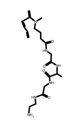 C=C/C=C\C(=C)N(C)CCCC(=O)NCC(=O)NC(C)C(=O)NCC(=O)NCCN